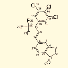 O=C1CCc2cc(C=CC(c3cc(Cl)c(Cl)c(Cl)c3)C(F)(F)F)ccc21